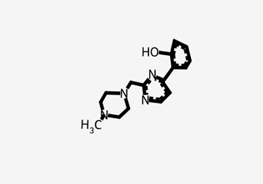 CN1CCN(Cc2nccc(-c3ccccc3O)n2)CC1